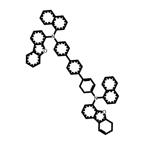 C1=Cc2c(oc3c(N(C4=CC=C(c5ccc(-c6ccc(N(c7cccc8ccccc78)c7cccc8c7oc7ccccc78)cc6)cc5)CC4)c4cccc5ccccc45)cccc23)CC1